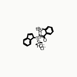 C[SiH](C)[Ti+2]([NH]C(=O)c1ccccc1C(C)(C)C)[CH]1C=Cc2ccccc21.[Cl-].[Cl-]